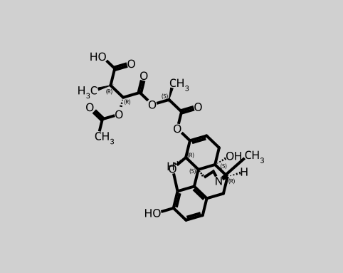 CC(=O)O[C@@H](C(=O)O[C@@H](C)C(=O)OC1=CC[C@@]2(O)[C@H]3Cc4ccc(O)c5c4[C@@]2(CCN3C)[C@H]1O5)[C@@H](C)C(=O)O